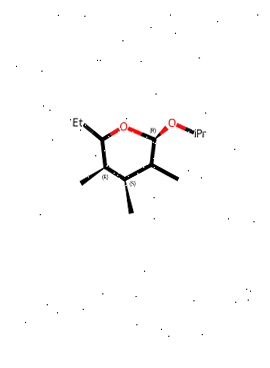 CCC1O[C@@H](OC(C)C)C(C)[C@@H](C)[C@H]1C